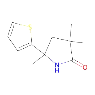 CC1(C)CC(C)(c2cccs2)NC1=O